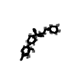 Cc1ccc(N2CCN(C(=O)NCCCN3CCCCC3)CC2)c(C)c1